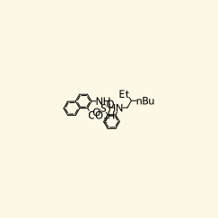 CCCCC(CC)CNc1ccccc1S(=O)(=O)Nc1ccc2ccccc2c1C(=O)O